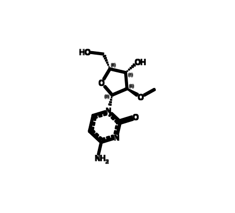 CO[C@@H]1[C@@H](O)[C@@H](CO)O[C@H]1n1ccc(N)nc1=O